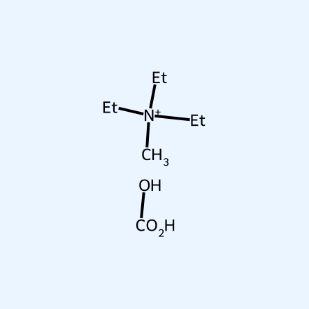 CC[N+](C)(CC)CC.O=C(O)O